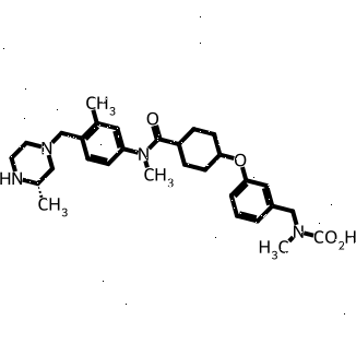 Cc1cc(N(C)C(=O)C2CCC(Oc3cccc(CN(C)C(=O)O)c3)CC2)ccc1CN1CCN[C@@H](C)C1